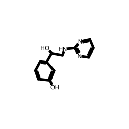 Oc1cccc(C(O)CNc2ncccn2)c1